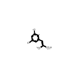 CC(=Cc1cc(Cl)cc(Cl)c1)C(=O)O